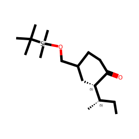 CC[C@H](C)[C@@H]1CC(CO[Si](C)(C)C(C)(C)C)CCC1=O